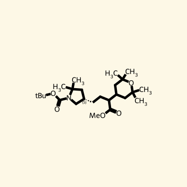 COC(=O)C(CC[C@@H]1CN(C(=O)OC(C)(C)C)C(C)(C)C1)C1CC(C)(C)OC(C)(C)C1